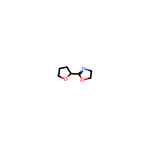 C1COC(C2=NCCO2)C1